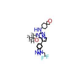 [2H]C([2H])([2H])Oc1nc(NC2CCC3(CC2)COC3)nn2ccc(-c3ccc4nnn(CC(F)F)c4c3)c12